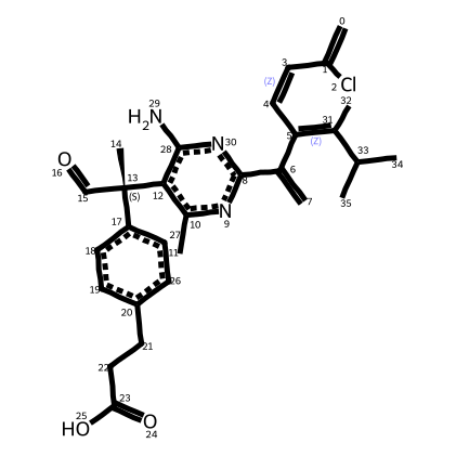 C=C(Cl)/C=C\C(C(=C)c1nc(C)c([C@@](C)(C=O)c2ccc(CCC(=O)O)cc2)c(N)n1)=C(/C)C(C)C